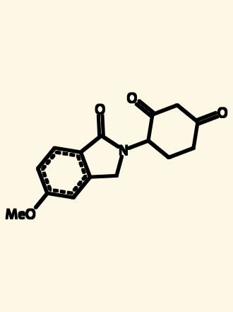 COc1ccc2c(c1)CN(C1CCC(=O)CC1=O)C2=O